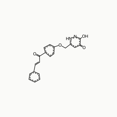 O=C(/C=C/c1ccccc1)c1ccc(OCc2cc(=O)c(O)n[nH]2)cc1